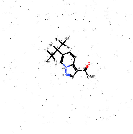 [2H]C([2H])([2H])C(C#N)(c1ccc2c(C(=O)OC)cnn2c1)C([2H])([2H])[2H]